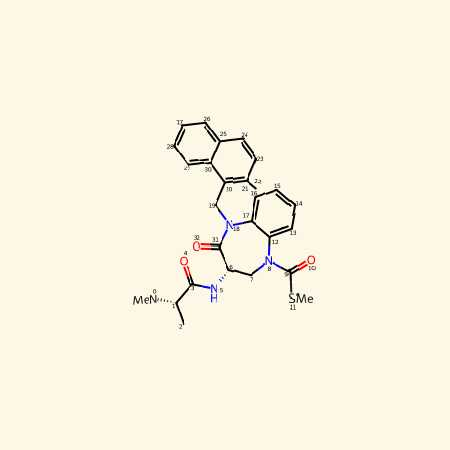 CN[C@@H](C)C(=O)N[C@H]1CN(C(=O)SC)c2ccccc2N(Cc2c(C)ccc3ccccc23)C1=O